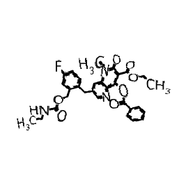 CCNC(=O)OCc1cc(F)ccc1Cc1cnc2c(OC(=O)c3ccccc3)c(C(=O)OCC)c(=O)n(C)c2c1